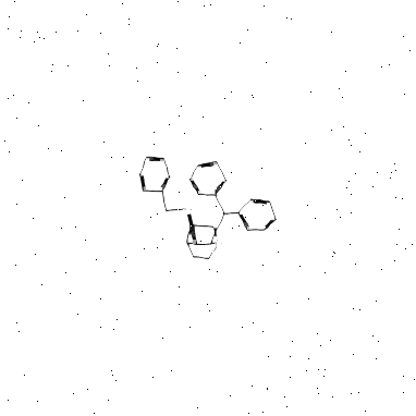 c1ccc(C/N=C2\C3CCN(CC3)C2C(c2ccccc2)c2ccccc2)cc1